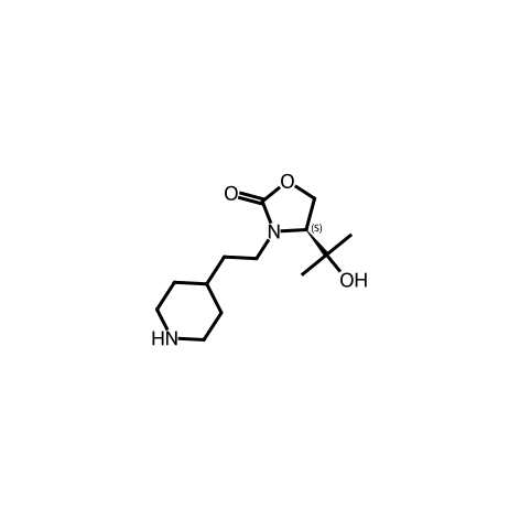 CC(C)(O)[C@@H]1COC(=O)N1CCC1CCNCC1